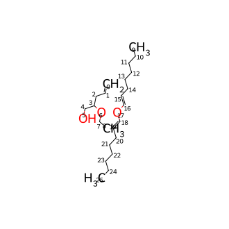 C=CCC(CO)OCC.CCCCCCC=COC=CCCCCCC